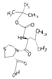 CC(C)[C@H](NC(=O)OC(C)(C)C)C(=O)N1CSC[C@H]1C(=O)O